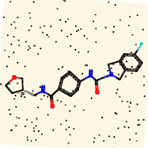 O=C(NC[C@@H]1CCOC1)c1ccc(NC(=O)N2Cc3ccc(F)cc3C2)cc1